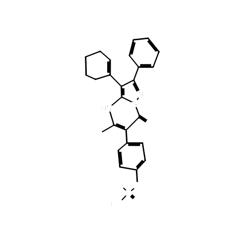 Cc1[nH]c2c(C3=CCCCC3)c(-c3ccccc3)nn2c(=O)c1-c1ccc(OP(=O)(O)O)cc1